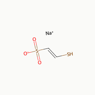 O=S(=O)([O-])/C=C/S.[Na+]